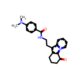 CN(C)c1ccc(C(=O)NCCc2c3c(n4ccccc24)C(=O)CCC3)cc1